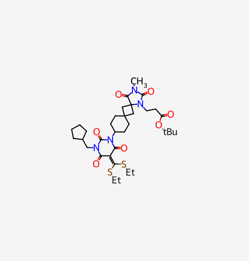 CCSC(SCC)=C1C(=O)N(CC2CCCC2)C(=O)N(C2CCC3(CC2)CC2(C3)C(=O)N(C)C(=O)N2CCC(=O)OC(C)(C)C)C1=O